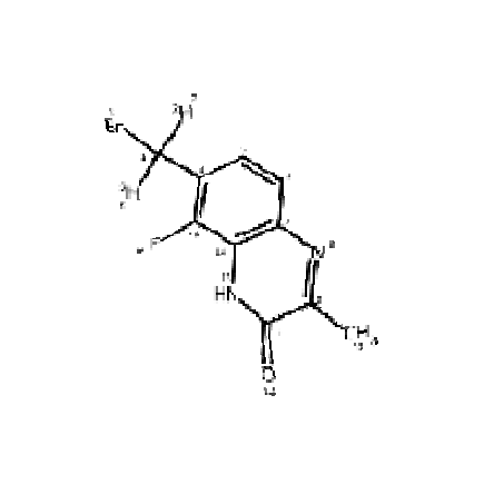 [2H]C([2H])(Br)c1ccc2nc(C)c(=O)[nH]c2c1F